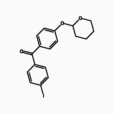 O=C(c1ccc(I)cc1)c1ccc(OC2CCCCO2)cc1